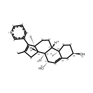 CC1=C(c2cccnc2)[C@@]2(C)CC[C@H]3[C@@H]([C@@H](O)C=C4C[C@H](O)CC[C@@]43C)[C@@H]2C1